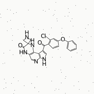 O=C(c1ccc(Oc2ccccc2)cc1Cl)c1c[nH]c2ncc3c(c12)NC1(CNC1)C(=O)N3